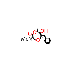 CN[C@H]1COC[C@H](Cc2ccccc2)[C@@H](O)[C@H](C)OC1=O